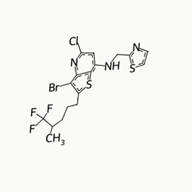 CC(CCCc1sc2c(NCc3nccs3)cc(Cl)nc2c1Br)C(F)(F)F